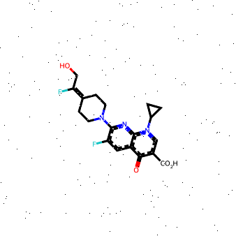 O=C(O)c1cn(C2CC2)c2nc(N3CCC(=C(F)CO)CC3)c(F)cc2c1=O